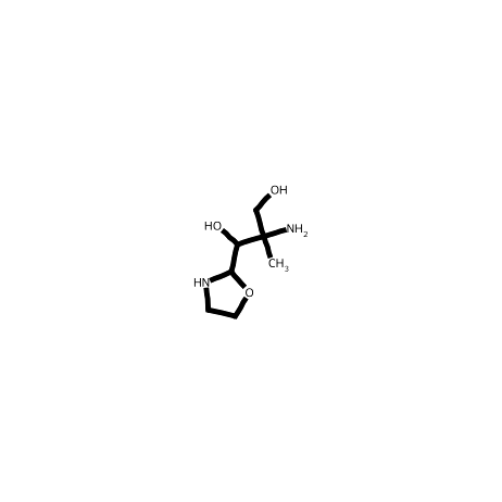 CC(N)(CO)C(O)C1NCCO1